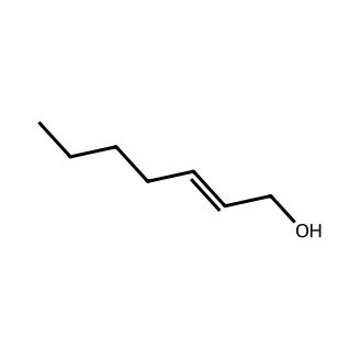 CCCC/C=C/CO